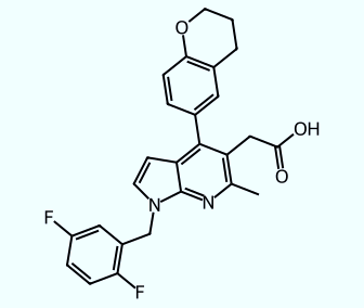 Cc1nc2c(ccn2Cc2cc(F)ccc2F)c(-c2ccc3c(c2)CCCO3)c1CC(=O)O